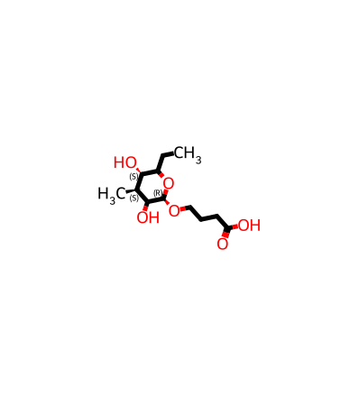 CCC1O[C@@H](OCCCC(=O)O)C(O)[C@@H](C)[C@@H]1O